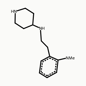 CNc1ccccc1CCNC1CCNCC1